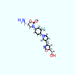 NC[C@H]1CN(c2ccc(-n3ccc(-c4cc(CO)on4)c3)c(F)c2)C(=O)O1